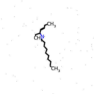 CC/C=C/C(CC)[N]CCCCCCCCCC